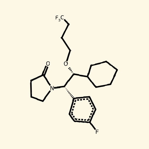 O=C1CCCN1[C@@H](c1ccc(F)cc1)[C@H](OCCCC(F)(F)F)C1CCCCC1